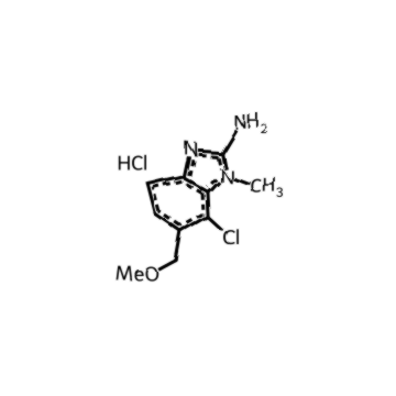 COCc1ccc2nc(N)n(C)c2c1Cl.Cl